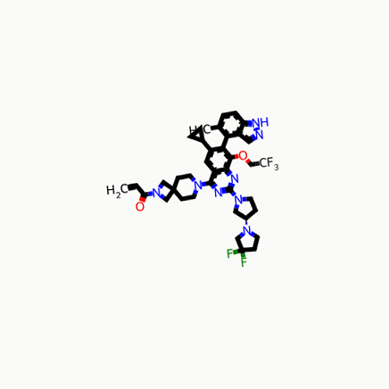 C=CC(=O)N1CC2(CCN(c3nc(N4CC[C@H](N5CCC(F)(F)C5)C4)nc4c(OCC(F)(F)F)c(-c5c(C)ccc6[nH]ncc56)c(C5CC5)cc34)CC2)C1